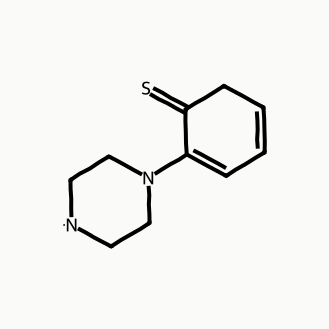 S=C1CC=CC=C1N1CC[N]CC1